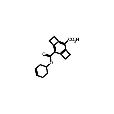 O=C(O)c1c2c(c(C(=O)OC3CC=CCC3)c3c1CC3)CC2